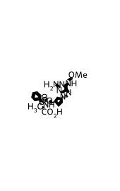 COCCNc1nc(N)nc2c1ncn2[C@H]1C=C[C@@H](CO[P@@](=O)(NC(C)C(=O)O)Oc2ccccc2)C1